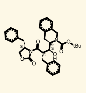 CC(C)(C)OC(=O)N1Cc2ccccc2C[C@@H]1[C@@H](O)[C@H](Cc1ccccc1)C(=O)N1C(=O)OC[C@@H]1Cc1ccccc1